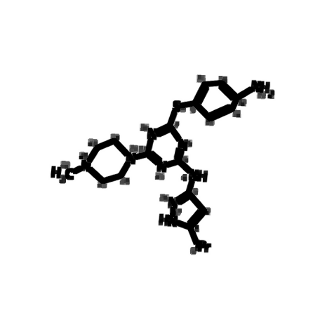 CC(C)c1cc(Nc2nc(Sc3ccc(N)cc3)nc(N3CCN(C)CC3)n2)n[nH]1